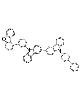 c1ccc(-c2ccc(-n3c4ccccc4c4cc(-c5ccc6c(c5)c5ccccc5n6-c5cccc(-c6cccc7oc8ccccc8c67)c5)ccc43)cc2)cc1